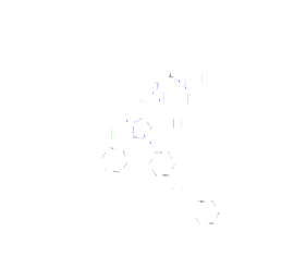 Cc1c(C(=O)N[C@H]2CCCC[C@H]2N(C)C)nc(-c2ccc(Cl)cc2Cl)n1-c1ccc(OCc2ccccc2)cc1